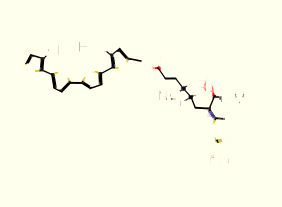 CCCCSC(=S)S/C(CC)=C(\CC(C)(CC)C(C)(C#N)CCC(=O)OCc1cc(C)c(-c2ccc(-c3ccc(-c4sccc4C)s3)s2)s1)C(=O)OC